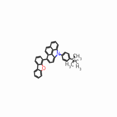 C[Si](C)(C)c1ccc(-n2c3cccc4ccc5c(-c6cccc7c6oc6ccccc67)ccc2c5c43)cc1